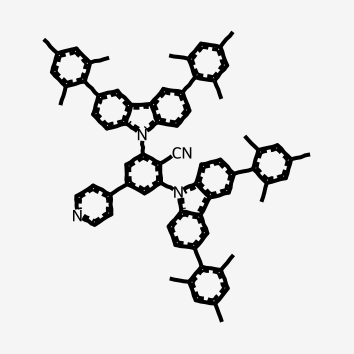 Cc1cc(C)c(-c2ccc3c(c2)c2cc(-c4c(C)cc(C)cc4C)ccc2n3-c2cc(-c3ccncc3)cc(-n3c4ccc(-c5c(C)cc(C)cc5C)cc4c4cc(-c5c(C)cc(C)cc5C)ccc43)c2C#N)c(C)c1